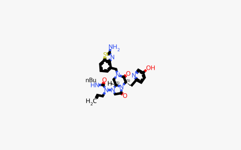 C=CCN(C(=O)NCCCC)N1CC(=O)N2[C@@H](Cc3ccc(O)cn3)C(=O)N(Cc3cccc4sc(N)nc34)C[C@@H]21